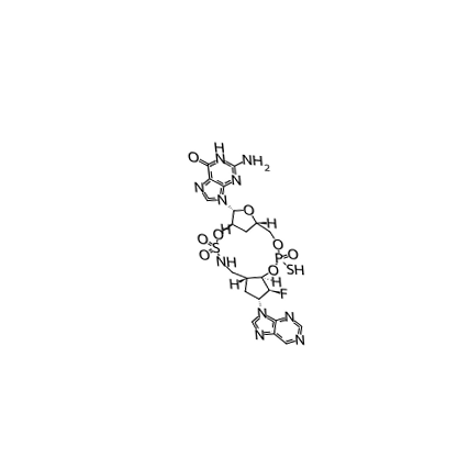 Nc1nc2c(ncn2[C@@H]2O[C@@H]3COP(=O)(S)O[C@@H]4[C@@H](CNS(=O)(=O)O[C@@H]2C3)C[C@@H](n2cnc3cncnc32)[C@@H]4F)c(=O)[nH]1